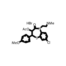 Br.CNCCN1C(=O)C(OC(C)=O)C(c2ccc(OC)cc2)Sc2cc(Cl)ccc21